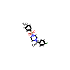 Cc1ccc(S(=O)(=O)N2CCN([C@H](C)c3ccc(F)cc3)CC2)cc1